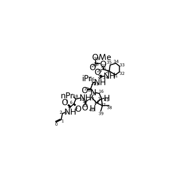 C=CCNC(=O)C(=O)C(CCC)NC(=O)[C@@H]1[C@@H]2[C@H](CN1C(=O)[C@@H](NC(=O)NC1(COC(=O)OC)CCCCC1)C(C)C)C2(C)C